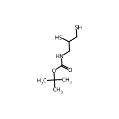 CC(C)(C)OC(=O)NCC(S)CS